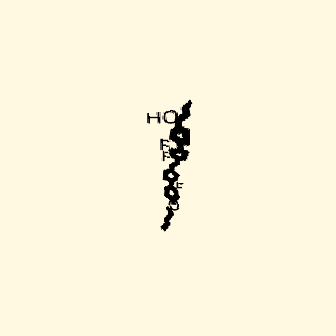 C=CCCCOc1ccc(C2CCC(CCc3ccc(-c4ccc(C(O)CCC)cc4)c(F)c3F)CC2)c(F)c1